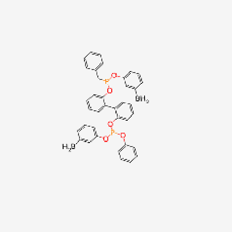 Bc1cccc(OP(Cc2ccccc2)Oc2ccccc2-c2ccccc2OP(Oc2ccccc2)Oc2cccc(B)c2)c1